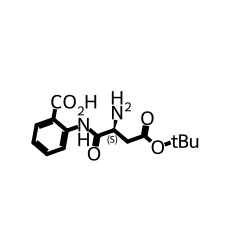 CC(C)(C)OC(=O)C[C@H](N)C(=O)Nc1ccccc1C(=O)O